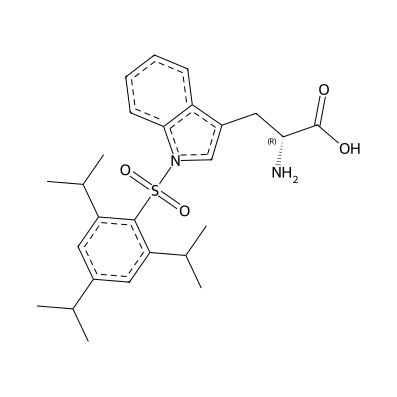 CC(C)c1cc(C(C)C)c(S(=O)(=O)n2cc(C[C@@H](N)C(=O)O)c3ccccc32)c(C(C)C)c1